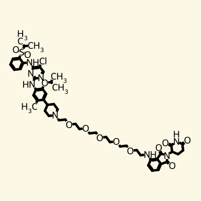 Cc1cc(Nc2ncc(Cl)c(Nc3ccccc3S(=O)(=O)C(C)C)n2)c(OC(C)C)cc1C1CCN(CCOCCOCCOCCOCCOCCNc2cccc3c2C(=O)N(C2CCC(=O)NC2=O)C3=O)CC1